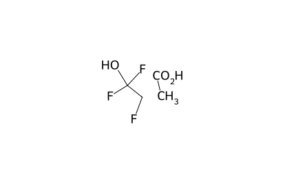 CC(=O)O.OC(F)(F)CF